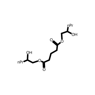 CCCC(O)COC(=O)CCCC(=O)OCC(O)CCC